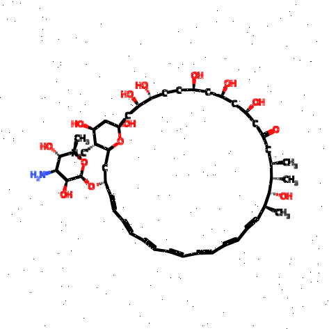 C[C@@H]1[C@H](O)[C@@H](C)/C=C/C=C/C=C/C=C/C=C/C=C/C=C/[C@H](O[C@@H]2O[C@H](C)[C@@H](O)[C@H](N)[C@@H]2O)CC2O[C@](O)(C[C@@H](O)[C@H](O)CC[C@@H](O)C[C@@H](O)C[C@@H](O)CC(=O)C[C@H]1C)C[C@H](O)[C@H]2C